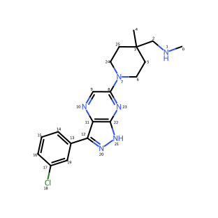 CNCC1(C)CCN(c2cnc3c(-c4cccc(Cl)c4)n[nH]c3n2)CC1